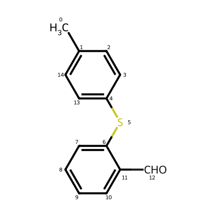 Cc1ccc(Sc2ccccc2C=O)cc1